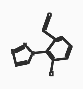 O=Cc1cccc(Cl)c1-n1ccnn1